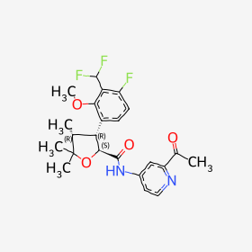 COc1c([C@@H]2[C@@H](C(=O)Nc3ccnc(C(C)=O)c3)OC(C)(C)[C@@H]2C)ccc(F)c1C(F)F